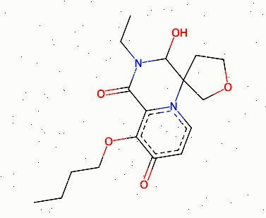 CCCCOc1c2n(ccc1=O)C1(CCOC1)C(O)N(CC)C2=O